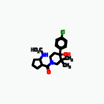 CC1(C)CN(C(=O)C2CCCC2NC(=O)O)CCC1(O)c1ccc(Cl)cc1